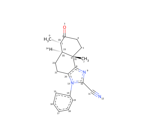 C[C@@H]1C(=O)CC[C@]2(C)c3nc(C#N)n(-c4ccccc4)c3CC[C@@H]12